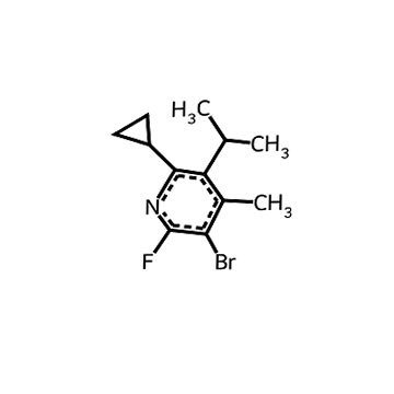 Cc1c(Br)c(F)nc(C2CC2)c1C(C)C